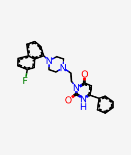 O=c1cc(-c2ccccc2)[nH]c(=O)n1CCN1CCN(c2cccc3ccc(F)cc23)CC1